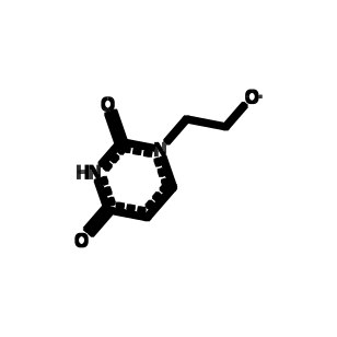 [O]CCn1ccc(=O)[nH]c1=O